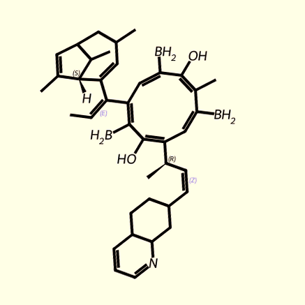 Bc1cc([C@H](C)/C=C\C2CCC3C=CC=NC3C2)c(O)c(B)c(/C(=C/C)C2=CC(C)CC3C=C(C)[C@@H]2C3C)cc(B)c(O)c1C